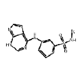 CCNS(=O)(=O)c1cccc(Nc2nc[nH]c3nccc2-3)c1